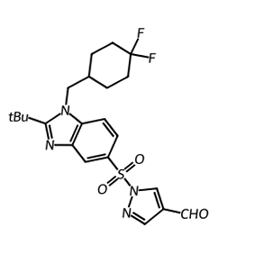 CC(C)(C)c1nc2cc(S(=O)(=O)n3cc(C=O)cn3)ccc2n1CC1CCC(F)(F)CC1